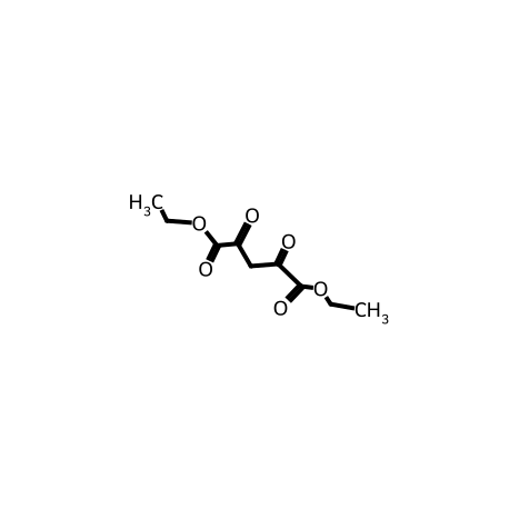 CCOC(=O)C(=O)CC(=O)C(=O)OCC